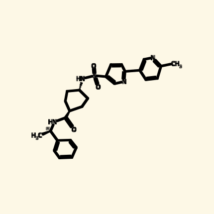 Cc1ccc(-c2ccc(S(=O)(=O)N[C@H]3CC[C@H](C(=O)N[C@H](C)c4ccccc4)CC3)cn2)cn1